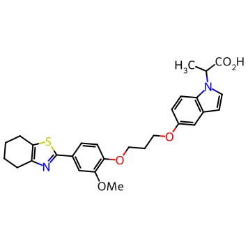 COc1cc(-c2nc3c(s2)CCCC3)ccc1OCCCOc1ccc2c(ccn2C(C)C(=O)O)c1